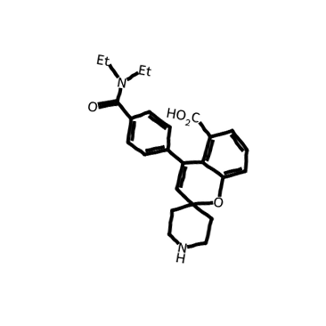 CCN(CC)C(=O)c1ccc(C2=CC3(CCNCC3)Oc3cccc(C(=O)O)c32)cc1